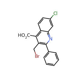 O=C(O)c1c(CBr)c(-c2ccccc2)nc2cc(Cl)ccc12